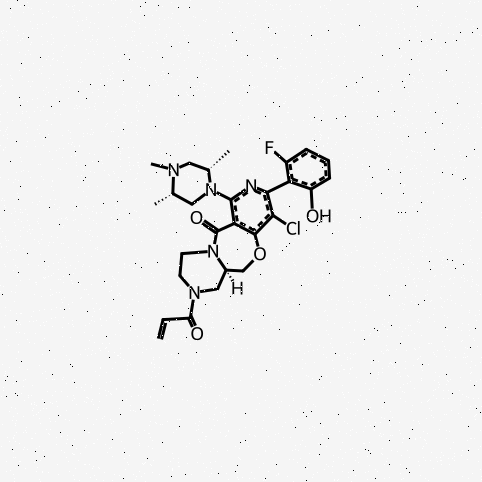 C=CC(=O)N1CCN2C(=O)c3c(N4C[C@H](C)N(C)C[C@@H]4C)nc(-c4c(O)cccc4F)c(Cl)c3OC[C@H]2C1